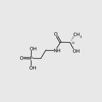 C[C@H](O)C(=O)NCCP(=O)(O)O